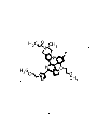 C=CC(=O)N1Cc2cc(-c3nc(-c4cnn(CCOC)c4)c4ccsc4c3-c3c(F)cc(F)cc3OCCOC)nn2C[C@H]1C